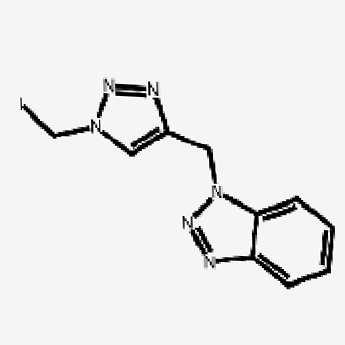 ICn1cc(Cn2nnc3ccccc32)nn1